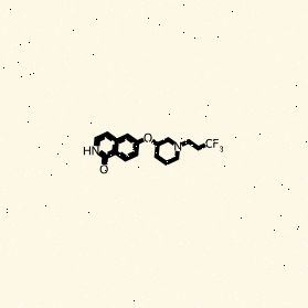 O=c1[nH]ccc2cc(OC3CCCN(CCC(F)(F)F)C3)ccc12